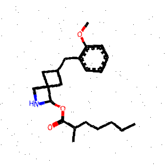 CCCCCC(C)C(=O)OC1NCC12CC(Cc1ccccc1OC)C2